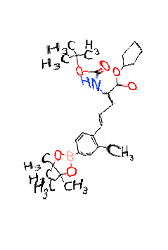 Cc1cc(B2OC(C)(C)C(C)(C)O2)ccc1/C=C/CC(NC(=O)OC(C)(C)C)C(=O)OC1CCCC1